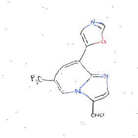 O=Cc1cnc2c(-c3cnco3)cc(C(F)(F)F)cn12